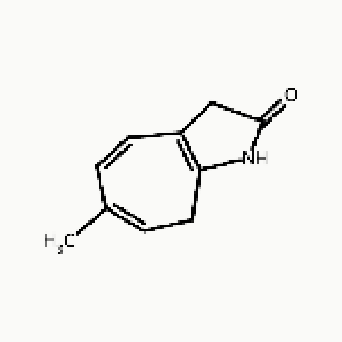 CC1=CCC2=C(C=C1)CC(=O)N2